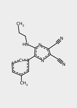 CCCNc1nc(C#N)c(C#N)nc1-c1cccc(C)c1